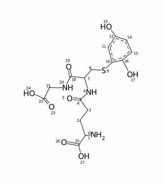 NC(CCC(=O)NC(CSc1cc(O)ccc1O)C(=O)NCC(=O)O)C(=O)O